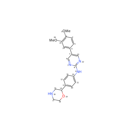 COc1ccc(-c2cnc(Nc3ccc(C4CNCCO4)cc3)nc2)cc1OC